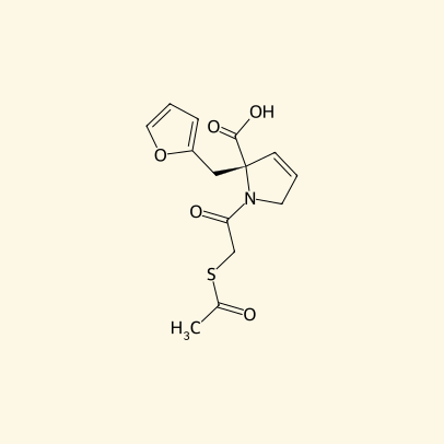 CC(=O)SCC(=O)N1CC=C[C@@]1(Cc1ccco1)C(=O)O